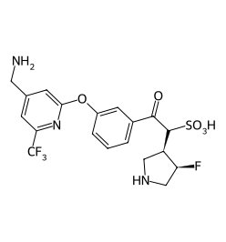 NCc1cc(Oc2cccc(C(=O)C([C@@H]3CNC[C@@H]3F)S(=O)(=O)O)c2)nc(C(F)(F)F)c1